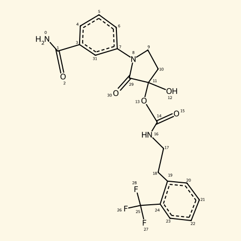 NC(=O)c1cccc(N2CCC(O)(OC(=O)NCCc3ccccc3C(F)(F)F)C2=O)c1